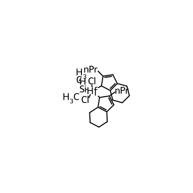 CCCC1=CC2=C(CCCC2)[CH]1[Hf]([Cl])([Cl])([CH]1C(CCC)=CC2=C1CCCC2)[SiH](C)C